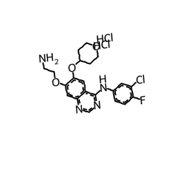 Cl.Cl.NCCOc1cc2ncnc(Nc3ccc(F)c(Cl)c3)c2cc1OC1CCOCC1